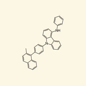 Cc1ccc2ccccc2c1-c1ccc(-n2c3ccccc3c3c(Nc4ccccc4)cccc32)cc1